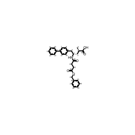 C[C@H](C[C@@H](Cc1ccc(-c2ccccc2)cc1)NC(=O)CCC(=O)OCc1ccccc1)C(=O)O